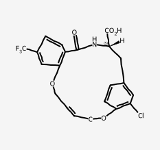 O=C1N[C@H](C(=O)O)Cc2ccc(c(Cl)c2)OCC=CCOc2cc(C(F)(F)F)ccc21